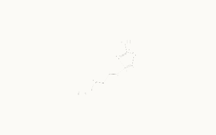 CCCCCNCCCc1c[nH]c(C)n1